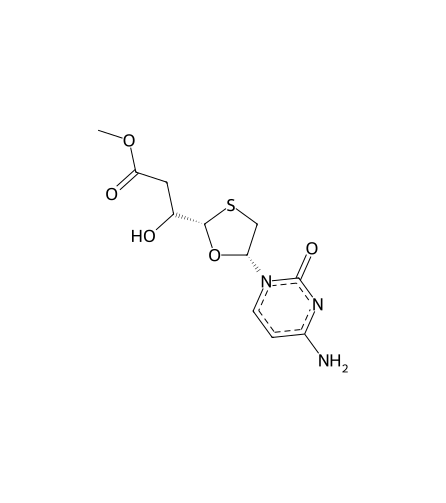 COC(=O)CC(O)[C@H]1O[C@@H](n2ccc(N)nc2=O)CS1